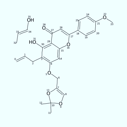 C=CCc1c(OCC2=COC(C)(C)O2)cc2oc(-c3ccc(OC)cc3)cc(=O)c2c1O.CC=CO